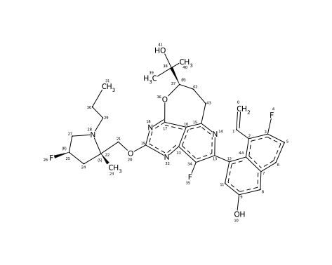 C=Cc1c(F)ccc2cc(O)cc(-c3nc4c5c(nc(OC[C@]6(C)C[C@@H](F)CN6CCC)nc5c3F)O[C@@H](C(C)(C)O)CC4)c12